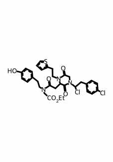 CCOC(=O)CN(CCc1ccc(O)cc1)C(=O)CC1C(=O)N(C(Cl)Cc2ccc(Cl)cc2)CC(=O)N1CCc1cccs1